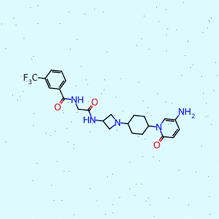 Nc1ccc(=O)n(C2CCC(N3CC(NC(=O)CNC(=O)c4cccc(C(F)(F)F)c4)C3)CC2)c1